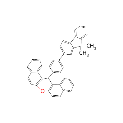 CC1(C)c2ccccc2-c2ccc(-c3ccc(C4c5c(ccc6ccccc56)Oc5ccc6ccccc6c54)cc3)cc21